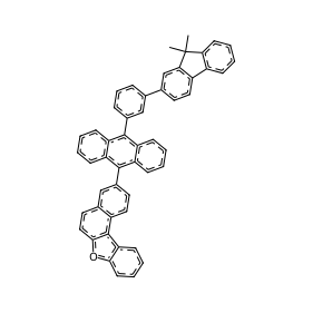 CC1(C)c2ccccc2-c2ccc(-c3cccc(-c4c5ccccc5c(-c5ccc6c(ccc7oc8ccccc8c76)c5)c5ccccc45)c3)cc21